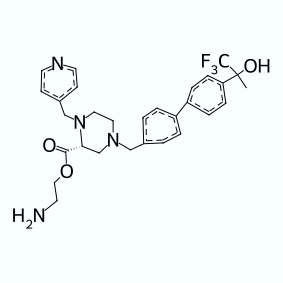 CC(O)(c1ccc(-c2ccc(CN3CCN(Cc4ccncc4)[C@@H](C(=O)OCCN)C3)cc2)cc1)C(F)(F)F